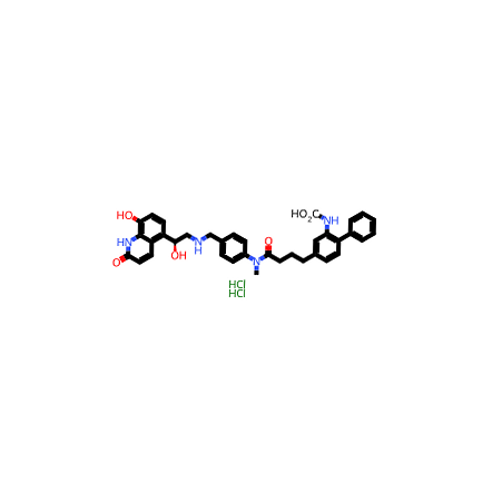 CN(C(=O)CCCc1ccc(-c2ccccc2)c(NC(=O)O)c1)c1ccc(CNC[C@@H](O)c2ccc(O)c3[nH]c(=O)ccc23)cc1.Cl.Cl